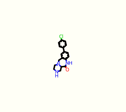 O=C1Nc2ccc(-c3ccc(Cl)cc3)cc2CN2CCNCC12